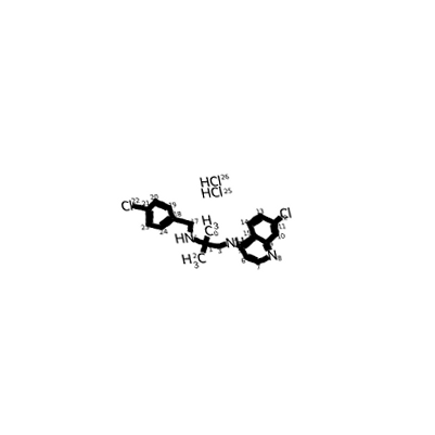 CC(C)(CNc1ccnc2cc(Cl)ccc12)NCc1ccc(Cl)cc1.Cl.Cl